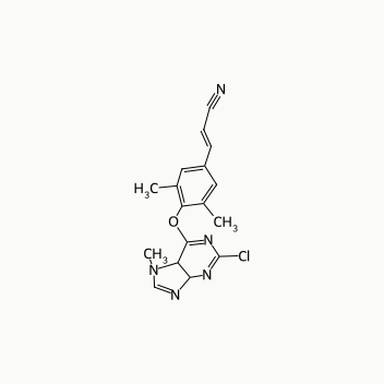 Cc1cc(/C=C/C#N)cc(C)c1OC1=NC(Cl)=NC2N=CN(C)C12